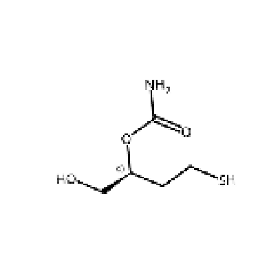 NC(=O)O[C@H](CO)CCS